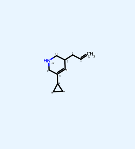 C=CCC1C=C(C2CC2)CNC1